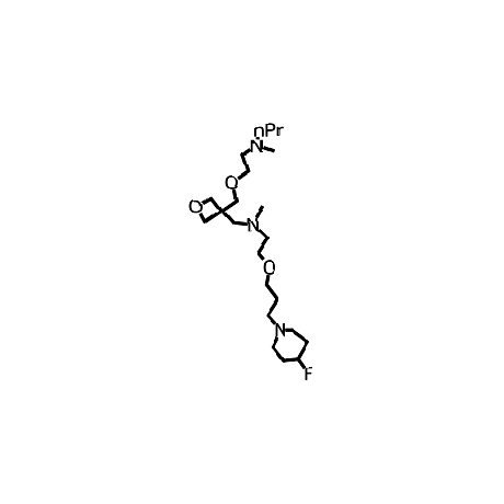 CCCN(C)CCOCC1(CN(C)CCOCCCN2CCC(F)CC2)COC1